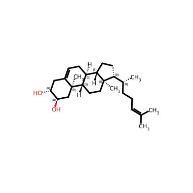 CC(C)=CCC[C@@H](C)[C@H]1CC[C@H]2[C@@H]3CC=C4C[C@@H](O)[C@H](O)C[C@]4(C)[C@H]3CC[C@]12C